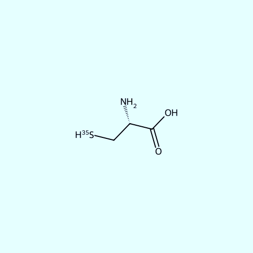 N[C@@H](C[35SH])C(=O)O